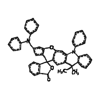 CC1(C)c2ccccc2N(c2ccccc2)c2cc3c(cc21)C1(OC(=O)c2ccccc21)c1ccc(N(c2ccccc2)c2ccccc2)cc1O3